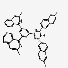 Cc1ccc2cc(C3=NC(c4cc(-c5nc(C)cc6ccccc56)cc(-c5nc(C)cc6ccccc56)c4)=N[C@@H](c4ccc5cc(C)ccc5c4)N3)ccc2c1